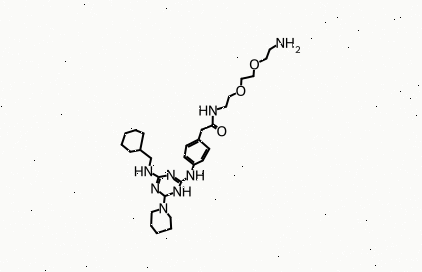 NCCOCCOCCNC(=O)Cc1ccc(NC2=NC(NCC3CCCCC3)=NC(N3CCCCC3)N2)cc1